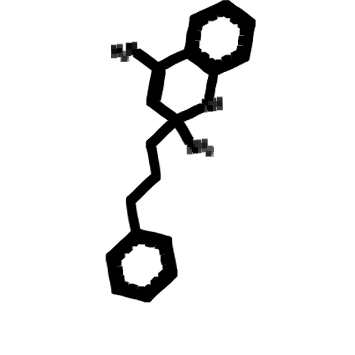 NC1=CC(N)(CCCc2ccccc2)Nc2ccccc21